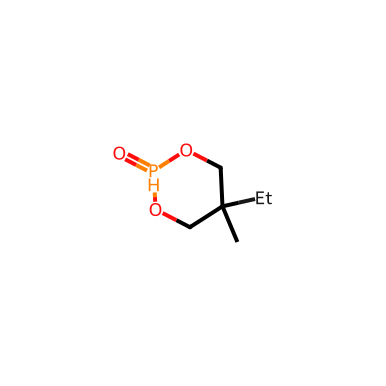 CCC1(C)CO[PH](=O)OC1